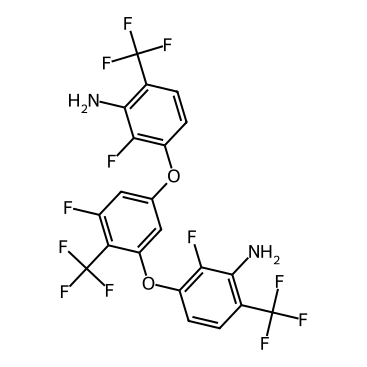 Nc1c(C(F)(F)F)ccc(Oc2cc(F)c(C(F)(F)F)c(Oc3ccc(C(F)(F)F)c(N)c3F)c2)c1F